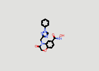 O=C(NO)c1ccc2c(c1)N(Cc1ncn(-c3ccccc3)n1)C(=O)CO2